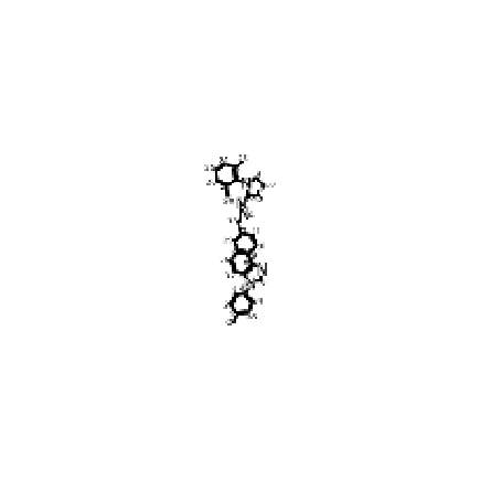 Cc1ccc(-n2cnc3c4ccc(/C=N/N=C5\SCCN5c5c(C)cccc5C)cc4ccc32)cc1